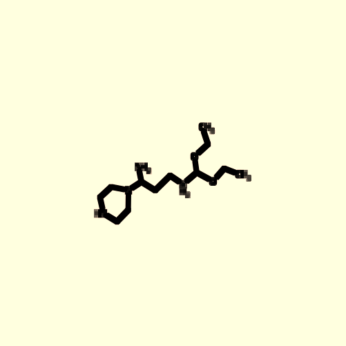 CCOC(OCC)[SiH2]CCC(N)N1CCNCC1